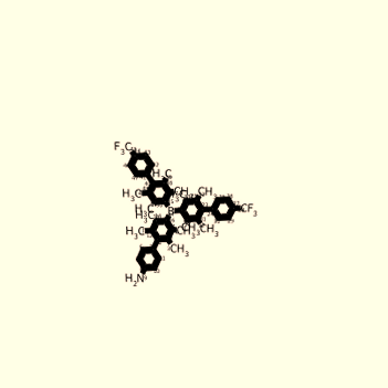 Cc1c(C)c(-c2ccc(N)cc2)c(C)c(C)c1B(c1c(C)c(C)c(-c2ccc(C(F)(F)F)cc2)c(C)c1C)c1c(C)c(C)c(-c2ccc(C(F)(F)F)cc2)c(C)c1C